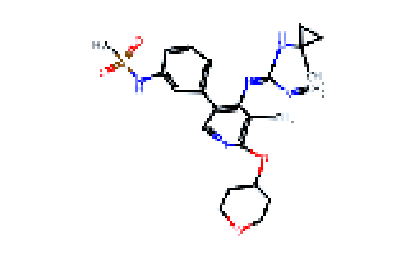 C=N/C(=N\c1c(-c2cccc(NS(C)(=O)=O)c2)cnc(OC2CCOCC2)c1C)NC1(C)CC1